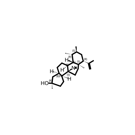 C=N[C@]12CC[C@@]3(C)[C@@H]([C@H](C)[C@@H](C)C[C@@H]3C(=C)C)[C@@H]1CC[C@@H]1C[C@](C)(O)CC[C@@H]12